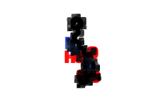 O=C(/C(O)=C/c1cc(CCc2ccccc2)ncn1)N1CCN(C(=O)c2ccco2)CC1